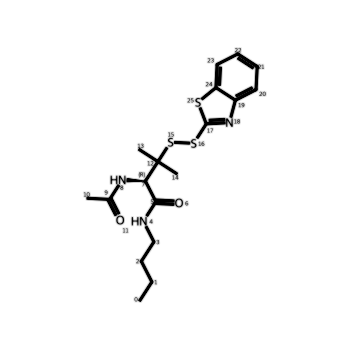 CCCCNC(=O)[C@@H](NC(C)=O)C(C)(C)SSc1nc2ccccc2s1